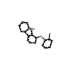 Cc1ccccc1Oc1cccc2c1[nH]c1ccccc12